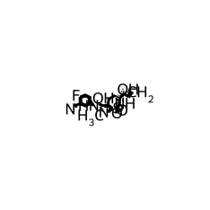 C=C[C@@H](O)[C@@H]1CCc2c(cn(C)c2C(O)Nc2ccc(F)c(C#N)c2)S(=O)(=O)N1